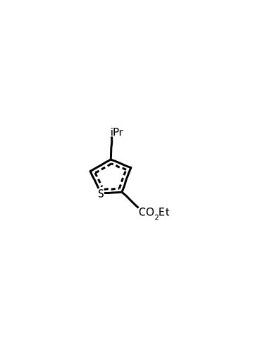 CCOC(=O)c1cc(C(C)C)cs1